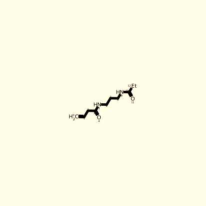 C=CCC(=O)NCCCNC(=O)CC